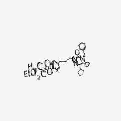 CCOC(=O)C(C)(C)Oc1ccc(CCCn2nc(C3CCCC3)c(=O)n(Cc3ccccc3)c2=O)cc1